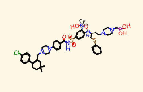 CC1(C)CCC(c2ccc(Cl)cc2)=C(CN2CCN(c3ccc(C(=O)NS(=O)(=O)c4ccc(N[C@H](CCN5CCN(CP(O)O)CC5)CSc5ccccc5)c([N+]([O-])(O)C(F)(F)F)c4)cc3)CC2)C1